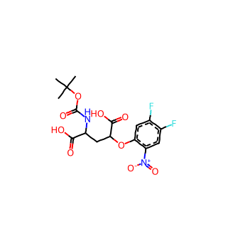 CC(C)(C)OC(=O)NC(CC(Oc1cc(F)c(F)cc1[N+](=O)[O-])C(=O)O)C(=O)O